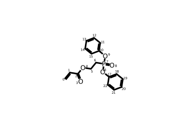 C=CC(=O)OCCP(=O)(Oc1ccccc1)Oc1ccccc1